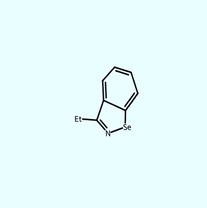 CCc1n[se]c2ccccc12